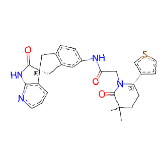 CC1(C)CC[C@@H](c2ccsc2)N(CC(=O)Nc2ccc3c(c2)C[C@@]2(C3)C(=O)Nc3ncccc32)C1=O